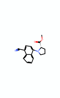 COC(=O)[C@@H]1CCCN1c1ccc(C#N)c2ccccc12